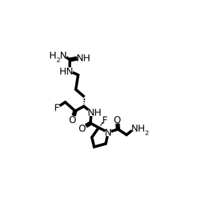 N=C(N)NCCC[C@H](NC(=O)[C@]1(F)CCCN1C(=O)CN)C(=O)CF